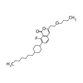 CCCCCCCC1CCC(c2ccc3cc(CCOCCCC)oc(=O)c3c2F)CC1